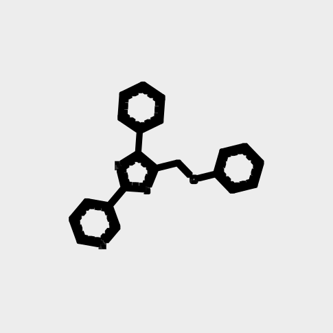 c1ccc(OCc2sc(-c3cccnc3)nc2-c2ccccc2)cc1